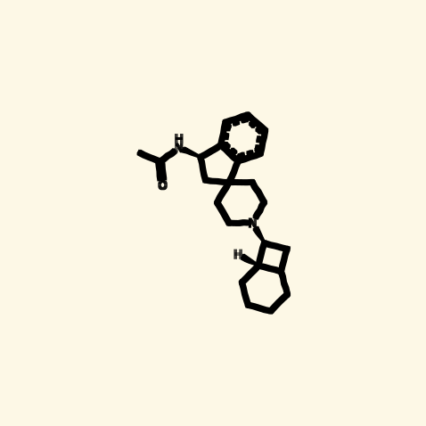 CC(=O)N[C@@H]1CC2(CCN([C@H]3CC4CCCC[C@@H]43)CC2)c2ccccc21